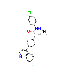 CC[C@@H](C(=O)Nc1ccc(Cl)cc1)C1CCC(c2ccnc3cc(F)ccc23)CC1